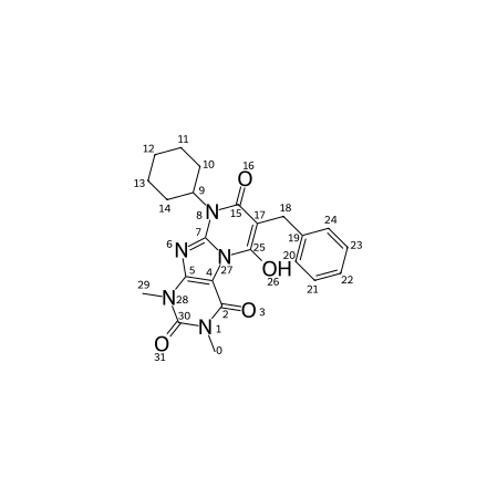 Cn1c(=O)c2c(nc3n(C4CCCCC4)c(=O)c(Cc4ccccc4)c(O)n23)n(C)c1=O